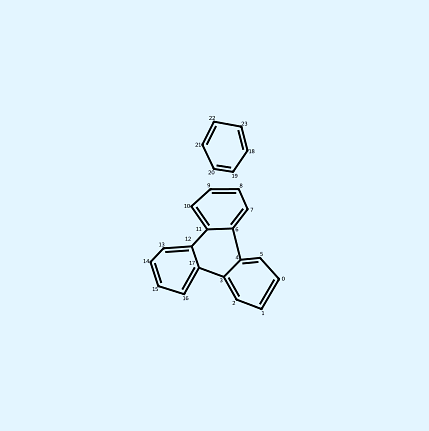 c1ccc2c(c1)c1ccccc1c1ccccc21.c1ccccc1